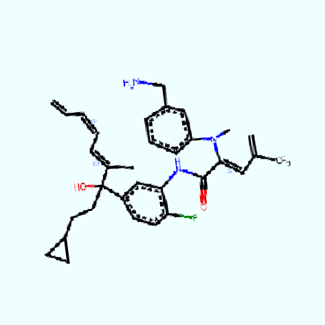 C=C/C=C\C=C(/C)C(O)(CCC1CC1)c1ccc(F)c(NC(=O)/C(=C/C(=C)C(F)(F)F)N(C)c2cccc(CN)c2)c1